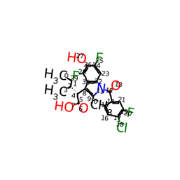 CCC(C)[C@@H](C(=O)O)c1c(C)n(C(=O)c2ccc(Cl)c(F)c2)c2cc(F)c(O)c(F)c12